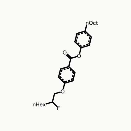 CCCCCCCCc1ccc(OC(=O)c2ccc(OCC(F)CCCCCC)cc2)cc1